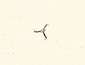 [CH3][Ga]([CH3])[CH3]